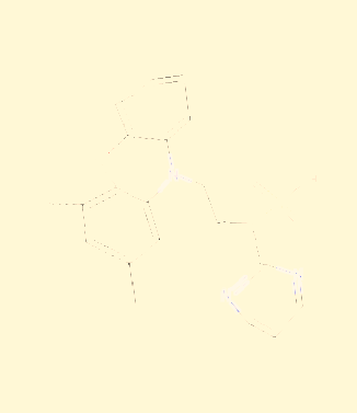 Cc1cc(C)c2c(c1)N(CCC(c1ncccn1)S(=O)(=O)O)c1ccccc1O2